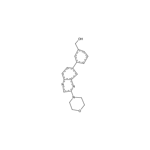 OCc1cccc(-c2ccc3ncc(N4CCOCC4)nc3c2)c1